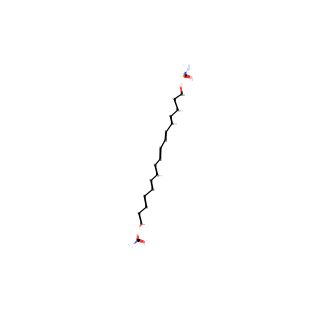 NC(=O)OCCCCCCCCCCCCCCCCCOC(N)=O